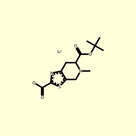 CN1Cc2sc(C(=O)[O-])nc2CC1C(=O)OC(C)(C)C.[Li+]